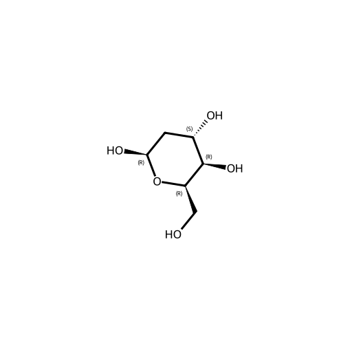 OC[C@H]1O[C@@H](O)C[C@H](O)[C@H]1O